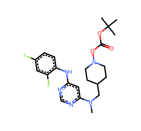 CN(CC1CCN(OC(=O)OC(C)(C)C)CC1)c1cc(Nc2ccc(F)cc2F)ncn1